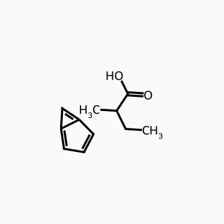 CCC(C)C(=O)O.c1cc2cc-2c1